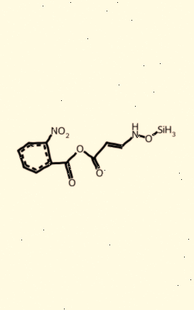 O=C(C=CNO[SiH3])OC(=O)c1ccccc1[N+](=O)[O-]